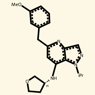 COc1cccc(Cc2cc(N[C@@H]3CCOC3)c3c(cnn3C(C)C)n2)c1